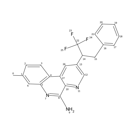 Cc1ccc2c(c1)nc(N)c1ncc(C(Cc3ccccc3)C(F)(F)F)cc12